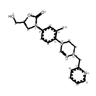 O=C1OC(CO)CN1c1ccc(N2C=NN(Cc3ccccn3)CC2)c(F)c1